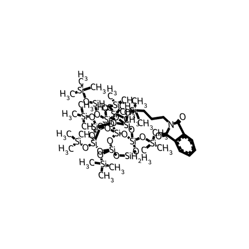 C[Si](C)(C)O[SiH2]O[Si]1(O[Si](C)(C)C)O[Si]2(O[Si](C)(C)C)O[Si]3(O[Si](C)(C)C)O[SiH2]O[Si]4(O[Si](C)(C)C)O[Si](O[Si](C)(C)C)(O3)O[Si](O[Si](C)(C)C)(O2)O[Si](O[Si](C)(C)CCCN2C(=O)c3ccccc3C2=O)(O1)O4